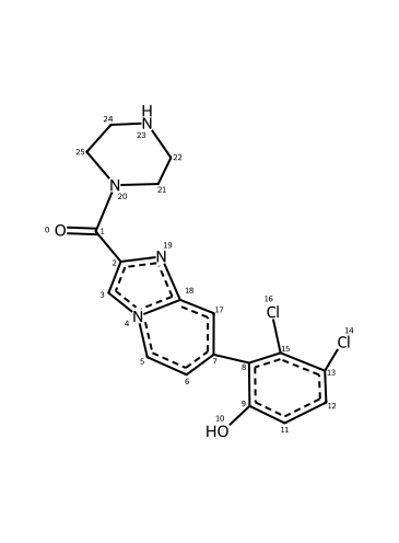 O=C(c1cn2ccc(-c3c(O)ccc(Cl)c3Cl)cc2n1)N1CCNCC1